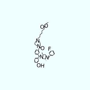 CCOC(=O)CCCCCCN1CCCN(C(=O)c2cccc([C@H](c3cccc(O)c3)N3C[C@@H](C)N(Cc4cccc(F)c4)C[C@@H]3C)c2)CC1